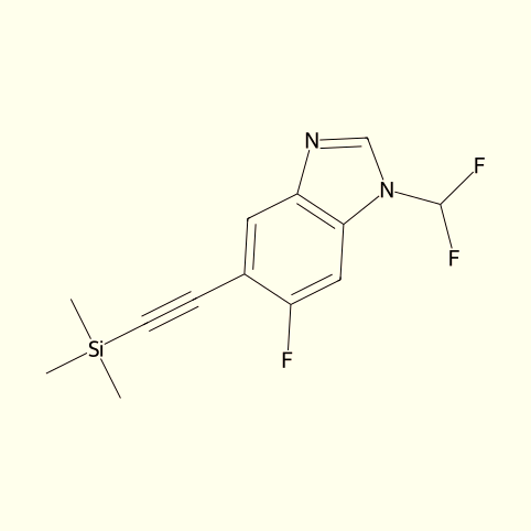 C[Si](C)(C)C#Cc1cc2ncn(C(F)F)c2cc1F